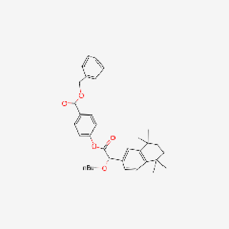 CCCCO[C@H](C(=O)Oc1ccc(C(=O)OCc2ccccc2)cc1)c1ccc2c(c1)C(C)(C)CCC2(C)C